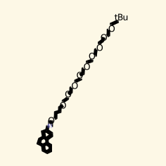 CC(C)(C)CCOCCOCCOCCOCCOCCOCCOCCOCCOCCCCO/N=C/c1ccc2c(ccc3ccccc32)c1